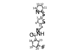 O=C(N/N=C/c1ccc(Sc2ccccn2)s1)c1cccc(F)c1